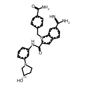 N=C(N)c1ccc2cc(C(=O)Nc3cccc(N4CC[C@H](O)C4)c3)n(Cc3ccc(C(N)=O)cc3)c2c1